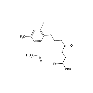 C=CC(=O)O.CCCCC(CC)COC(=O)CCSc1ccc(C(F)(F)F)cc1F